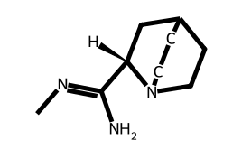 C/N=C(\N)[C@@H]1CC2CCN1CC2